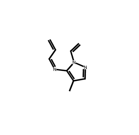 C=C/C=N\c1c(C)cnn1C=C